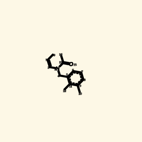 C/C=C\N(Cc1cccc(C)c1C)C(C)=O